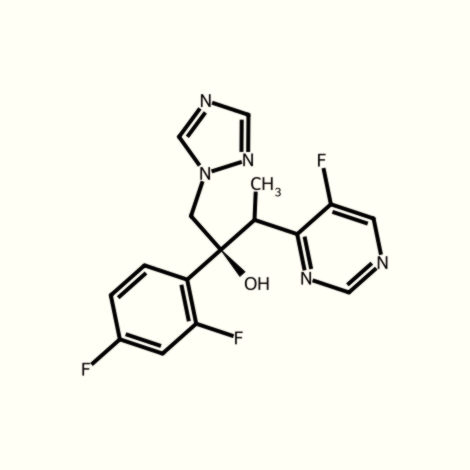 CC(c1ncncc1F)[C@@](O)(Cn1cncn1)c1ccc(F)cc1F